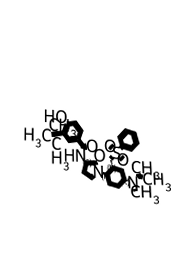 CC(C)N(C)[C@@H]1CC[C@@H](N2CC[C@H](NC(=O)c3ccc(O)c(C(C)(C)C)c3)C2=O)[C@H](CS(=O)(=O)c2ccccc2)C1